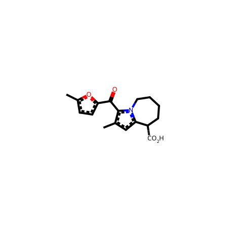 Cc1ccc(C(=O)c2c(C)cc3n2CCCCC3C(=O)O)o1